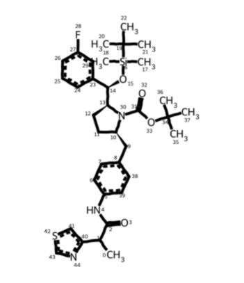 CC(C(=O)Nc1ccc(C[C@H]2CC[C@@H]([C@H](O[Si](C)(C)C(C)(C)C)c3cccc(F)c3)N2C(=O)OC(C)(C)C)cc1)c1cscn1